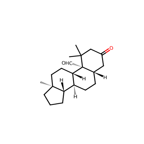 CC1(C)CC(=O)C[C@@H]2CC[C@H]3[C@@H]4CCC[C@@]4(C)CC[C@@H]3[C@]21C=O